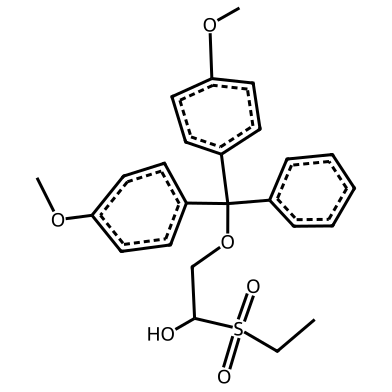 CCS(=O)(=O)C(O)COC(c1ccccc1)(c1ccc(OC)cc1)c1ccc(OC)cc1